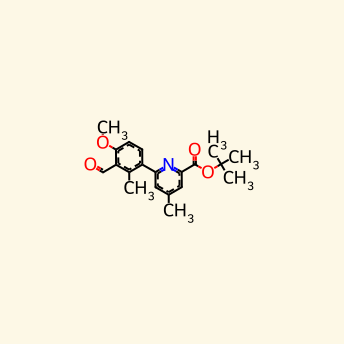 COc1ccc(-c2cc(C)cc(C(=O)OC(C)(C)C)n2)c(C)c1C=O